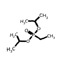 CCP(=O)(OC(C)C)OC(C)C